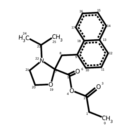 CCC(=O)OC(=O)C1(Cc2cccc3ccccc23)OCCN1C(C)C